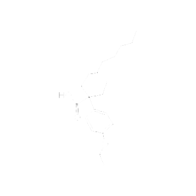 CCCCCC1CCC(C(=O)O)(c2ccc(OCC)cc2)CC1